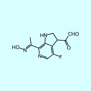 C/C(=N\O)c1ncc(F)c2c1NCC2C(=O)C=O